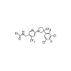 CCC(=O)NCc1cnc(N2CCC(c3cc(Cl)c(F)c(Cl)c3F)(C(F)(F)F)C2)cc1C(F)(F)F